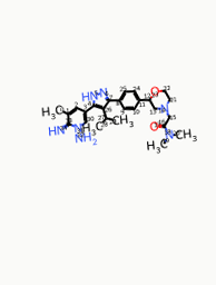 Cc1cc(-c2[nH]nc(-c3ccc(C4CN(CC(=O)N(C)C)CCO4)cc3)c2C(C)C)cn(N)c1=N